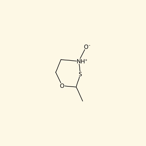 CC1OCC[NH+]([O-])S1